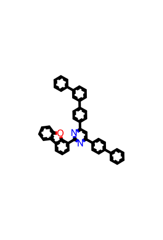 c1ccc(-c2ccc(-c3cc(-c4ccc(-c5cccc(-c6ccccc6)c5)cc4)nc(-c4cccc5c4oc4ccccc45)n3)cc2)cc1